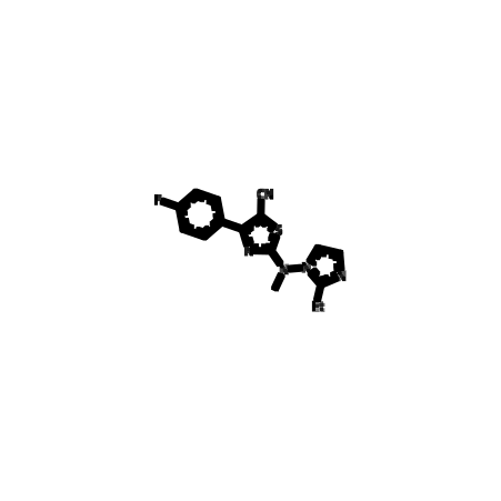 CCc1nccn1N(C)c1nc(-c2ccc(F)cc2)c(C#N)s1